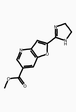 COC(=O)c1cnc2cc(C3=NCCN3)oc2c1